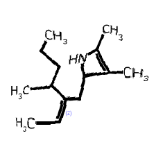 C/C=C(/CC1NC(C)=C1C)C(C)CCC